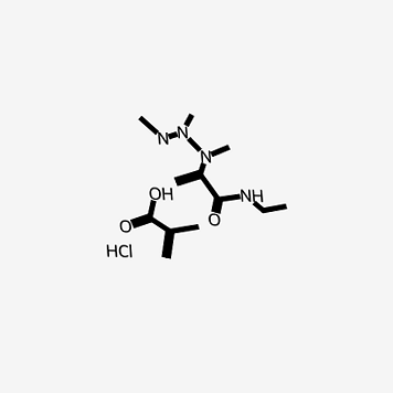 C=C(C(=O)NCC)N(C)N(C)[N]C.C=C(C)C(=O)O.Cl